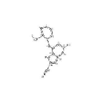 COc1ccccc1Oc1cc(F)cn2cc(C#N)cc12